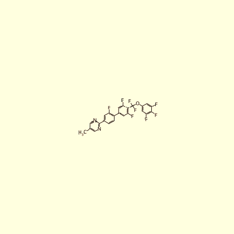 Cc1cnc(-c2ccc(-c3cc(F)c(C(F)(F)Oc4cc(F)c(F)c(F)c4)c(F)c3)c(F)c2)nc1